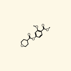 COC(=O)c1ccc(OC(=O)C2CCOCC2)cc1OC